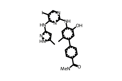 CNC(=O)c1ccc(-c2cc(O)c(Nc3ncc(I)c(Nc4cc(C)[nH]n4)n3)cc2C)cc1